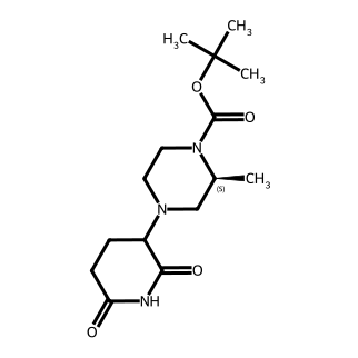 C[C@H]1CN(C2CCC(=O)NC2=O)CCN1C(=O)OC(C)(C)C